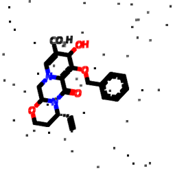 C=C[C@@H]1CCOC2CN3C=C(C(=O)O)C(O)C(OCc4ccccc4)=C3C(=O)N21